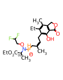 CCOC(=O)[C@H](C)N(OCC(F)F)[PH](=O)CC(C)=CCc1c(O)c2c(c(C)c1CC)COC2=O